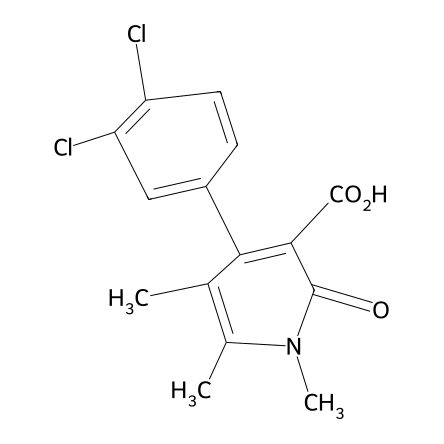 Cc1c(-c2ccc(Cl)c(Cl)c2)c(C(=O)O)c(=O)n(C)c1C